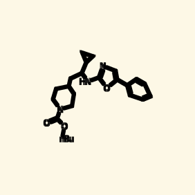 CCCCOC(=O)N1CCC(CC(Nc2ncc(-c3ccccc3)o2)C2CC2)CC1